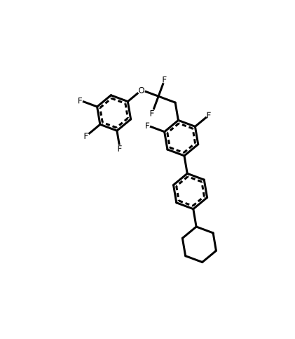 Fc1cc(OC(F)(F)Cc2c(F)cc(-c3ccc(C4CCCCC4)cc3)cc2F)cc(F)c1F